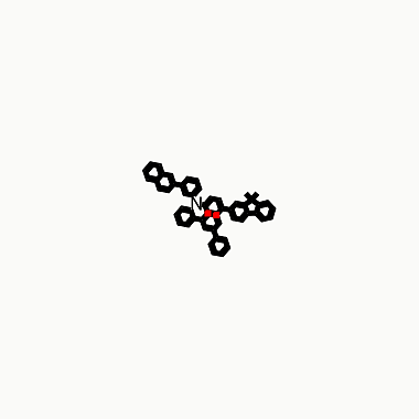 CC1(C)c2ccccc2-c2ccc(-c3ccc(N(c4cccc(-c5ccc6ccccc6c5)c4)c4ccccc4-c4cccc(-c5ccccc5)c4)cc3)cc21